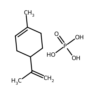 C=C(C)C1CC=C(C)CC1.O=P(O)(O)O